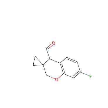 O=CC1c2ccc(F)cc2OCC12CC2